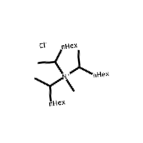 CCCCCCC(C)[N+](C)(C(C)CCCCCC)C(C)CCCCCC.[Cl-]